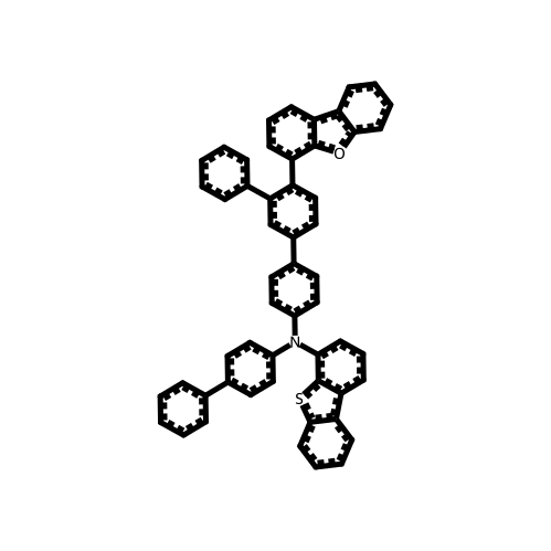 c1ccc(-c2ccc(N(c3ccc(-c4ccc(-c5cccc6c5oc5ccccc56)c(-c5ccccc5)c4)cc3)c3cccc4c3sc3ccccc34)cc2)cc1